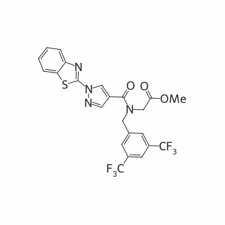 COC(=O)CN(Cc1cc(C(F)(F)F)cc(C(F)(F)F)c1)C(=O)c1cnn(-c2nc3ccccc3s2)c1